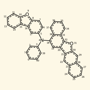 c1ccc(N(c2ccc3oc4ccccc4c3c2)c2cc3c4cc5ccccc5cc4oc3c3ccccc23)cc1